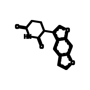 O=C1CCC(c2coc3cc4occc4cc23)C(=O)N1